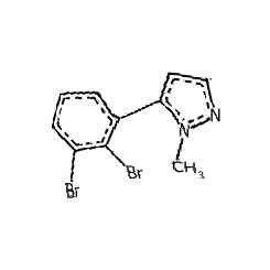 Cn1n[c]cc1-c1cccc(Br)c1Br